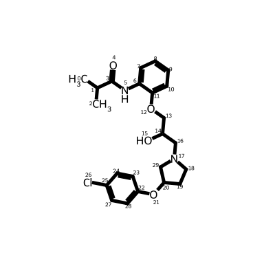 CC(C)C(=O)Nc1ccccc1OCC(O)CN1CCC(Oc2ccc(Cl)cc2)C1